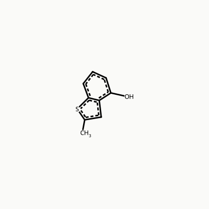 Cc1cc2c(O)cccc2s1